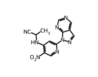 CC(C#N)Nc1cc(-n2ncc3cncnc32)ncc1[N+](=O)[O-]